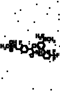 CC(C(=O)NCc1ccc(C(F)(F)F)nc1-c1cccc(N(C)C)c1)c1ccc(CNS(C)(=O)=O)c(F)c1